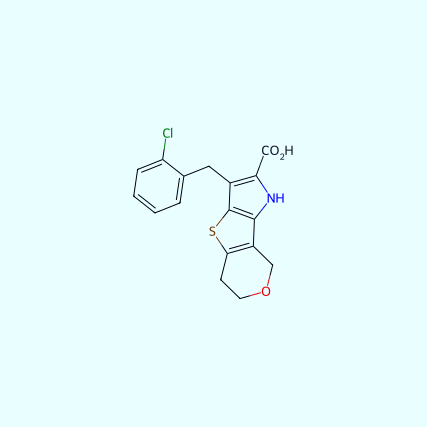 O=C(O)c1[nH]c2c3c(sc2c1Cc1ccccc1Cl)CCOC3